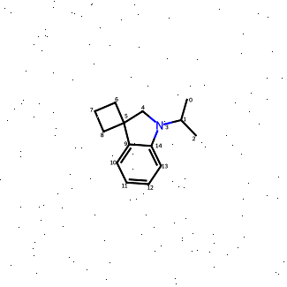 CC(C)N1CC2(CCC2)c2ccccc21